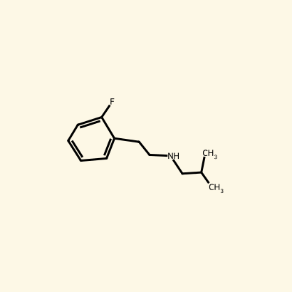 CC(C)CNCCc1ccccc1F